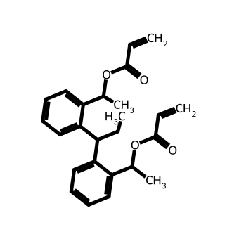 C=CC(=O)OC(C)c1ccccc1C(CC)c1ccccc1C(C)OC(=O)C=C